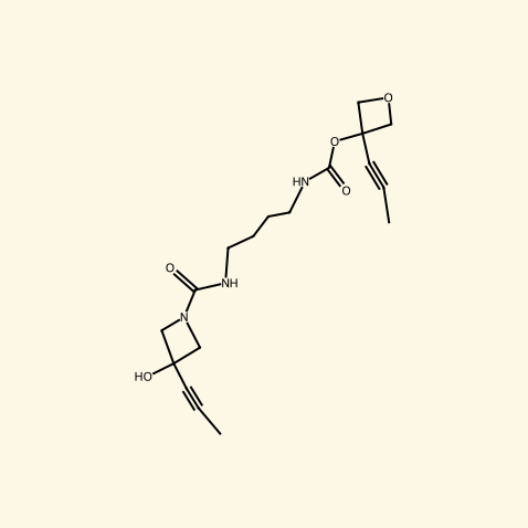 CC#CC1(O)CN(C(=O)NCCCCNC(=O)OC2(C#CC)COC2)C1